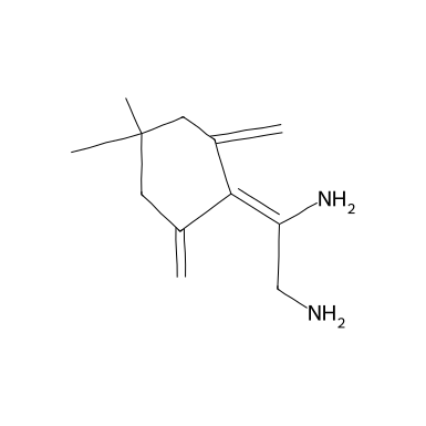 C=C1CC(C)(C)CC(=C)C1=C(N)CN